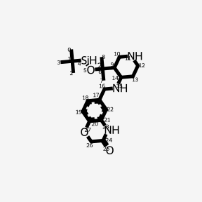 CC(C)(C)[SiH2]OC(C)(C)C1CNCCC1NCc1ccc2c(c1)NC(=O)CO2